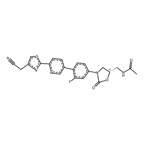 CC(=O)NC[C@H]1CN(c2ccc(-c3ccc(-c4nc(CC#N)cs4)nc3)c(F)c2)C(=O)O1